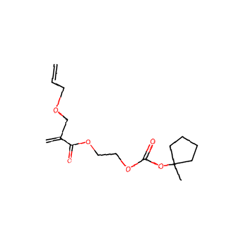 C=CCOCC(=C)C(=O)OCCOC(=O)OC1(C)CCCC1